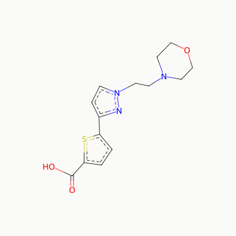 O=C(O)c1ccc(-c2ccn(CCN3CCOCC3)n2)s1